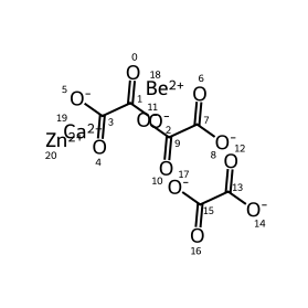 O=C([O-])C(=O)[O-].O=C([O-])C(=O)[O-].O=C([O-])C(=O)[O-].[Be+2].[Ca+2].[Zn+2]